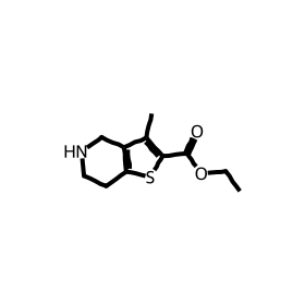 CCOC(=O)c1sc2c(c1C)CNCC2